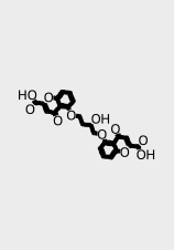 O=C(O)c1cc(=O)c2c(OCCC(O)COc3cccc4oc(C(=O)O)cc(=O)c34)cccc2o1